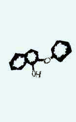 Oc1c(Oc2ccccc2)ccc2ccccc12